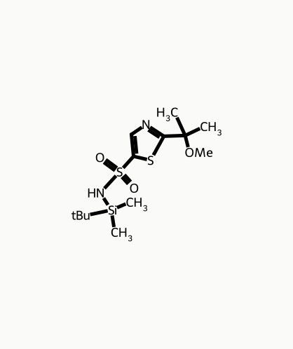 COC(C)(C)c1ncc(S(=O)(=O)N[Si](C)(C)C(C)(C)C)s1